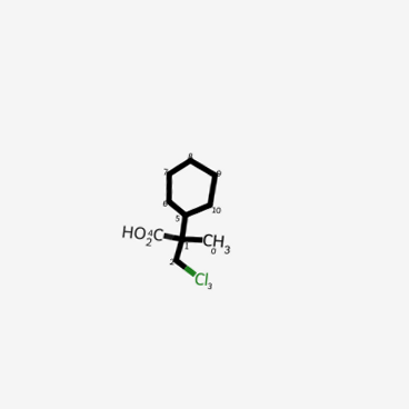 CC(CCl)(C(=O)O)C1CCCCC1